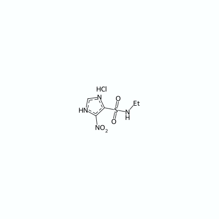 CCNS(=O)(=O)c1nc[nH]c1[N+](=O)[O-].Cl